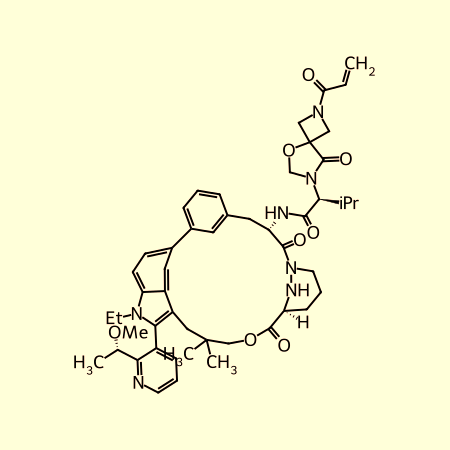 C=CC(=O)N1CC2(C1)OCN([C@H](C(=O)N[C@H]1Cc3cccc(c3)-c3ccc4c(c3)c(c(-c3cccnc3[C@H](C)OC)n4CC)CC(C)(C)COC(=O)[C@@H]3CCCN(N3)C1=O)C(C)C)C2=O